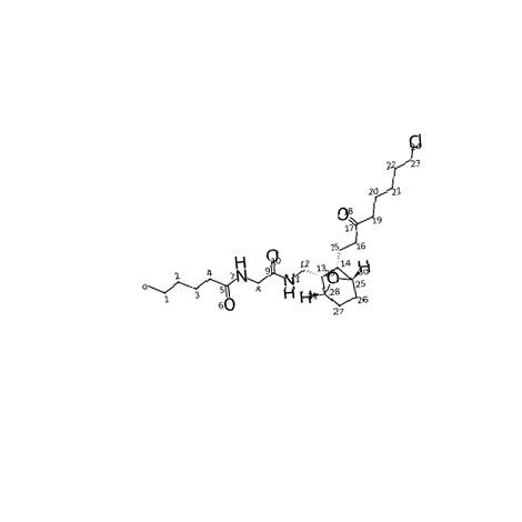 CCCCCC(=O)NCC(=O)NC[C@@H]1[C@H](CCC(=O)CCCCCCl)[C@@H]2CC[C@H]1O2